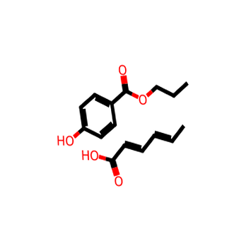 C/C=C/C=C/C(=O)O.CCCOC(=O)c1ccc(O)cc1